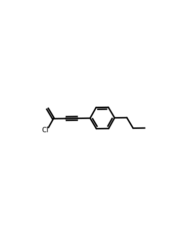 C=C(Cl)C#Cc1ccc(CCC)cc1